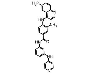 Cc1cc(C(=O)Nc2cccc(Nc3ccncc3)c2)ccc1Nc1ccnc2ccc(P)cc12